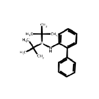 CC(C)(C)P(Nc1ccccc1-c1ccccc1)C(C)(C)C